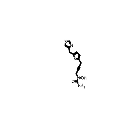 NC(=O)N(O)CC#CCc1ccc(Cc2cscn2)s1